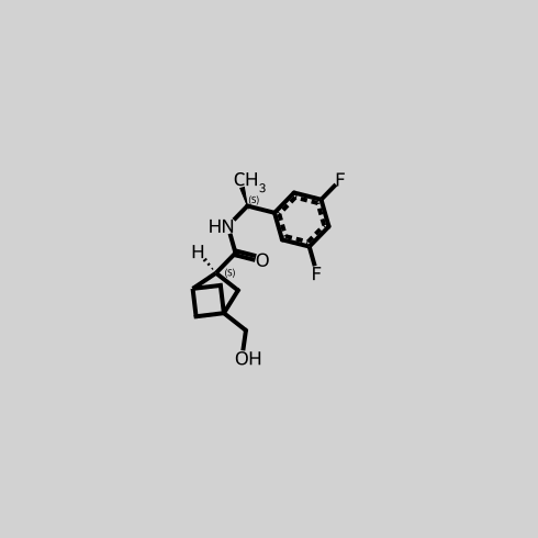 C[C@H](NC(=O)[C@H]1CC2(CO)CC1C2)c1cc(F)cc(F)c1